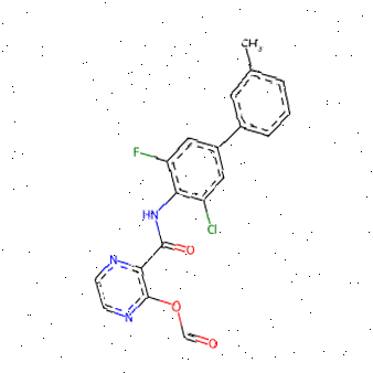 Cc1cccc(-c2cc(F)c(NC(=O)c3nccnc3OC=O)c(Cl)c2)c1